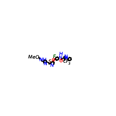 COCCNCc1ccc(-c2cc3nccc(Oc4ccc(NC(=O)c5cnn(-c6ccccc6)c5C(F)(F)F)cc4F)c3s2)nc1